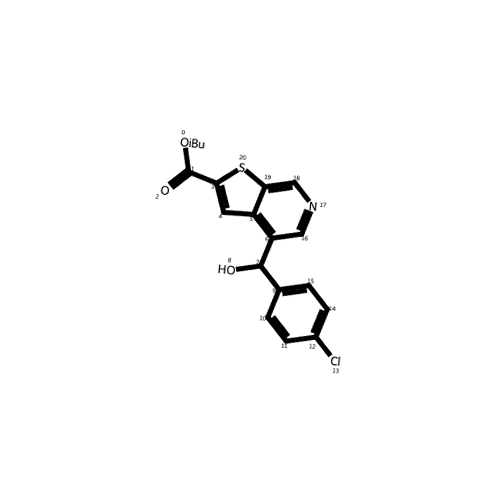 CC(C)COC(=O)c1cc2c(C(O)c3ccc(Cl)cc3)cncc2s1